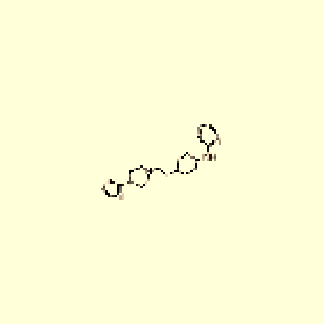 c1cnc(NC2CCC(CCN3CCN(c4nccs4)CC3)CC2)nc1